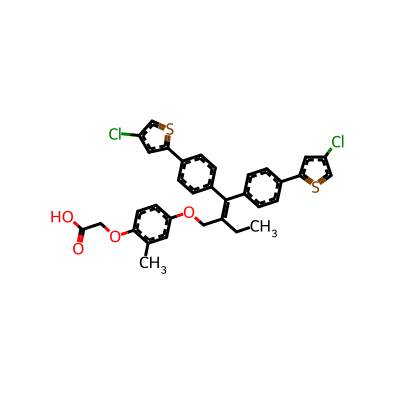 CCC(COc1ccc(OCC(=O)O)c(C)c1)=C(c1ccc(-c2cc(Cl)cs2)cc1)c1ccc(-c2cc(Cl)cs2)cc1